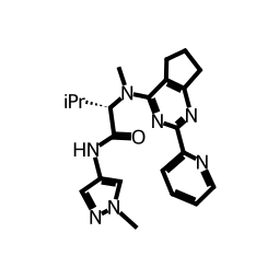 CC(C)[C@@H](C(=O)Nc1cnn(C)c1)N(C)c1nc(-c2ccccn2)nc2c1CCC2